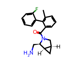 Cc1cccc(C(=O)N2C[C@H]3C[C@H]3[C@H]2CN)c1-c1ccccc1F